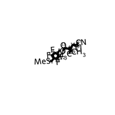 CSCc1c(F)c(F)c(COC(=O)C2C(C=C(Cl)C#N)C2(C)C)c(F)c1F